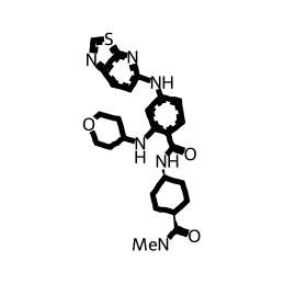 CNC(=O)[C@H]1CC[C@H](NC(=O)c2ccc(Nc3ccc4ncsc4n3)cc2NC2CCOCC2)CC1